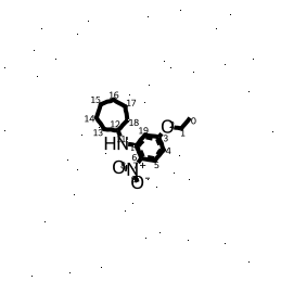 CCOc1ccc([N+](=O)[O-])c(NC2CCCCCC2)c1